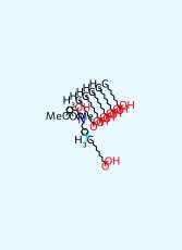 CCCCCCCCCC(=O)O.CCCCCCCCCC(=O)O.CCCCCCCCCC(=O)O.CCCCCCCCCC(=O)O.CCCCCCCCCC(=O)O.CCCCCCCCCC(=O)O.COc1cccc(C(O)C2CCN(CCc3ccc(F)cc3)CC2)c1OC